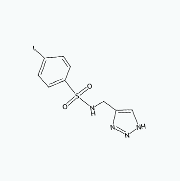 O=S(=O)(NCc1c[nH]nn1)c1ccc(I)cc1